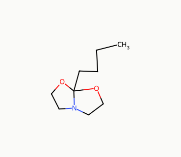 CCCCC12OCCN1CCO2